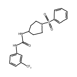 O=C(Nc1cccc(C(F)(F)F)c1)NC1CCN(S(=O)(=O)c2ccccc2)CC1